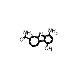 NC(=O)c1cccc2c3c(O)ccc(N)c3nc-2c1